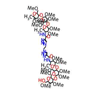 COCC1OC(OC2C(COC)OC(C)[C@@H](OC)C2OC)C(OC)C(OC)C1OC1OC(C)C(NC(=O)c2cn(CCn3cc(C(=O)NC4C(C)OC(OC5C(COC)OC(OC6C(COC)OC(CO)[C@H](OC)C6OC)C(OC)C5OC)C(OC)C4OC)nn3)nn2)C(OC)C1OC